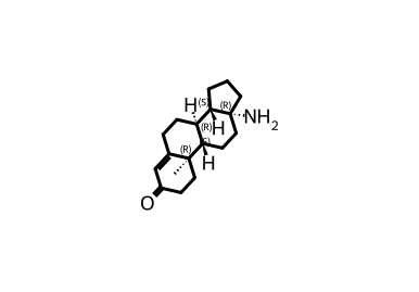 C[C@]12CCC(=O)C=C1CC[C@H]1[C@@H]3CCC[C@@]3(N)CC[C@@H]12